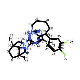 Cc1cc(N2C[C@H]3CC[C@@H](C2)[C@@H]3Nc2nc3n(n2)CCCCC3c2ccc(F)c(F)c2)ncn1